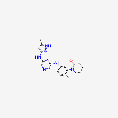 Cc1cc(Nc2cncc(Nc3ccc(C)c(N4CCCCC4=O)c3)n2)n[nH]1